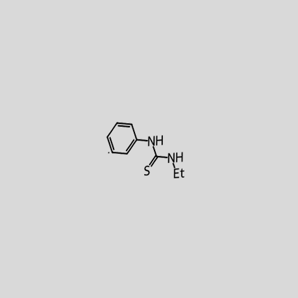 CCNC(=S)Nc1c[c]ccc1